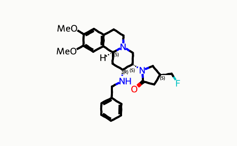 COc1cc2c(cc1OC)[C@@H]1C[C@@H](NCc3ccccc3)[C@@H](N3C[C@@H](CF)CC3=O)CN1CC2